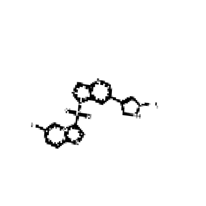 CN1C=C(c2cnc3cnn(S(=O)(=O)c4cnc5ccc(Br)cn45)c3c2)CN1